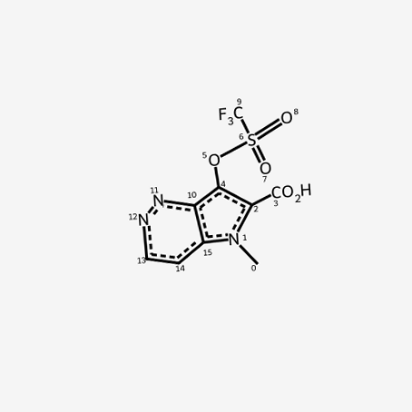 Cn1c(C(=O)O)c(OS(=O)(=O)C(F)(F)F)c2nnccc21